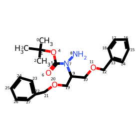 CC(C)(C)OC(=O)N(N)C(COCc1ccccc1)COCc1ccccc1